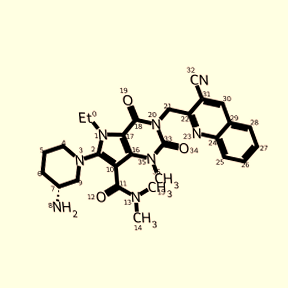 CCn1c(N2CCC[C@@H](N)C2)c(C(=O)N(C)C)c2c1c(=O)n(Cc1nc3ccccc3cc1C#N)c(=O)n2C